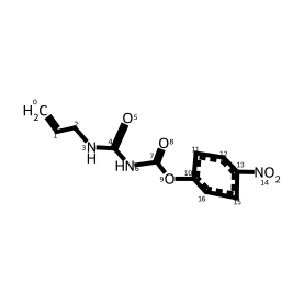 C=CCNC(=O)NC(=O)Oc1ccc([N+](=O)[O-])cc1